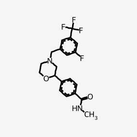 CNC(=O)c1ccc(C2CN(Cc3cc(F)cc(C(F)(F)F)c3)CCO2)cc1